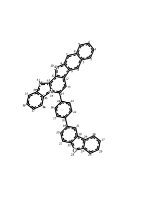 c1ccc2cc3c(cc2c1)sc1c3cc(-c2ccc(-c3ccc4oc5ccccc5c4c3)cc2)n2c3ccccc3nc12